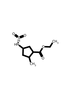 CCOC(=O)C1CC(N[SH](=O)=O)CC1C